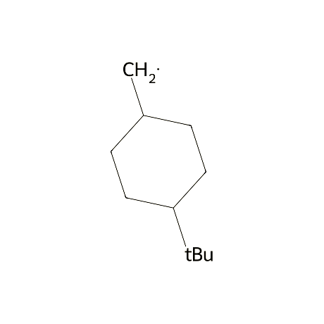 [CH2]C1CCC(C(C)(C)C)CC1